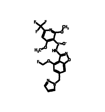 COc1cc(C(F)(F)F)nc(OC)c1[S+]([O-])Nc1noc2cc(Cn3cccn3)cc(OCF)c12